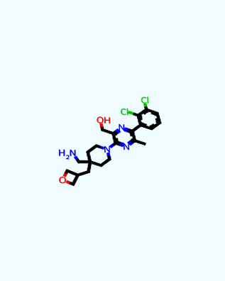 Cc1nc(N2CCC(CN)(CC3COC3)CC2)c(CO)nc1-c1cccc(Cl)c1Cl